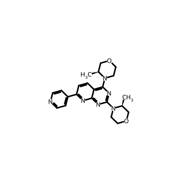 C[C@H]1COCCN1c1nc(N2CCOC[C@@H]2C)c2ccc(-c3ccncc3)nc2n1